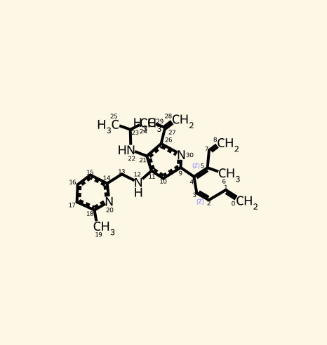 C=C/C=C\C(=C(/C)C=C)c1cc(NCc2cccc(C)n2)c(NC(C)C)c(C(=C)C)n1